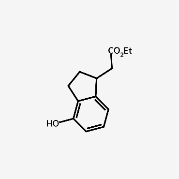 CCOC(=O)CC1CCc2c(O)cccc21